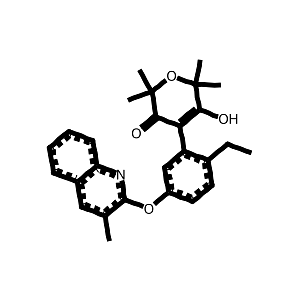 CCc1ccc(Oc2nc3ccccc3cc2C)cc1C1=C(O)C(C)(C)OC(C)(C)C1=O